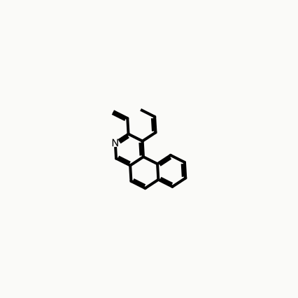 C=Cc1ncc2ccc3ccccc3c2c1/C=C\C